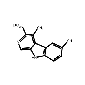 CCOC(=O)c1ncc2[nH]c3ccc(C#N)cc3c2c1C